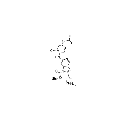 Cn1cc(-c2cc3cnc(Nc4ccc(OC(F)F)cc4Cl)cc3n2C(=O)OC(C)(C)C)cn1